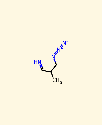 CC(C=N)CN=[N+]=[N-]